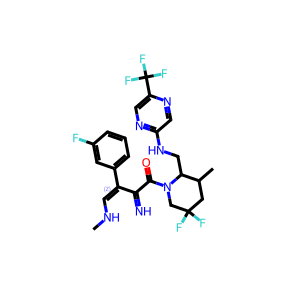 CN/C=C(\C(=N)C(=O)N1CC(F)(F)CC(C)C1CNc1cnc(C(F)(F)F)cn1)c1cccc(F)c1